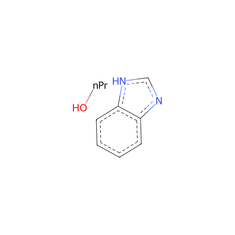 CCCO.c1ccc2[nH]cnc2c1